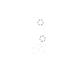 COc1ccc(CCOc2ccc(C(CN3CCN(C)CC3)C3(O)CCCCC3)cc2)cc1